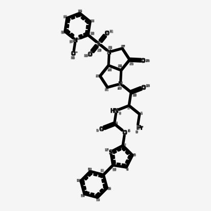 CC(C)CC(NC(=O)Oc1ccc(-c2ccccc2)s1)C(=O)N1CCC2C1C(=O)CN2S(=O)(=O)c1cccc[n+]1[O-]